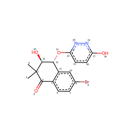 CC1(C)C(=O)c2ccc(Br)cc2[C@@H](Oc2ccc(O)nn2)[C@@H]1O